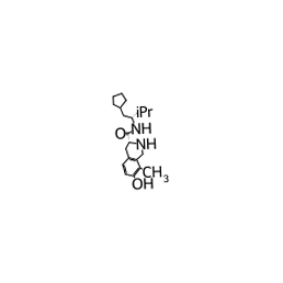 Cc1c(O)ccc2c1CN[C@@H](C(=O)N[C@H](CC1CCCC1)C(C)C)C2